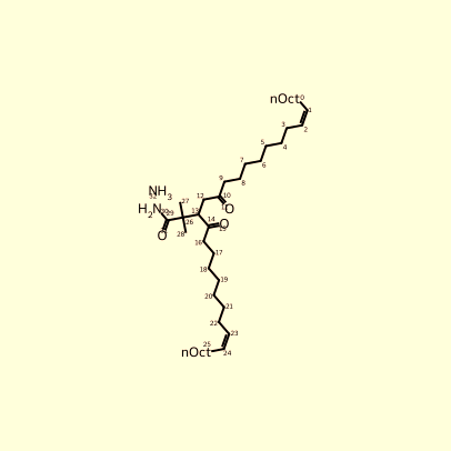 CCCCCCCC/C=C\CCCCCCCC(=O)CC(C(=O)CCCCCCC/C=C\CCCCCCCC)C(C)(C)C(N)=O.N